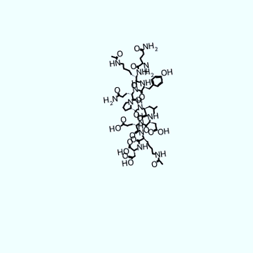 CC(=O)NCCCC[C@H](NC(=O)[C@H](CCC(=O)O)NC(=O)[C@H](CC(=O)O)NC(=O)[C@H](CC(C)C)NC(=O)[C@@H]1CCCN1C(=O)[C@H](CCC(N)=O)NC(=O)[C@H](Cc1ccc(O)cc1)NC(=O)[C@H](CCCCNC(C)=O)NC(=O)[C@@H](N)CCC(N)=O)C(=O)N[C@@H](CC(=O)O)C(=O)O